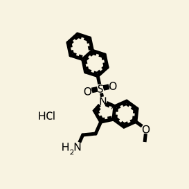 COc1ccc2c(c1)c(CCN)cn2S(=O)(=O)c1ccc2ccccc2c1.Cl